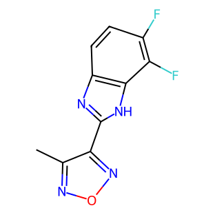 Cc1nonc1-c1nc2ccc(F)c(F)c2[nH]1